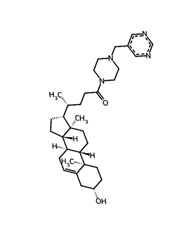 C[C@H](CCC(=O)N1CCN(Cc2cncnc2)CC1)[C@H]1CC[C@H]2[C@@H]3CC=C4C[C@@H](O)CC[C@]4(C)[C@H]3CC[C@]12C